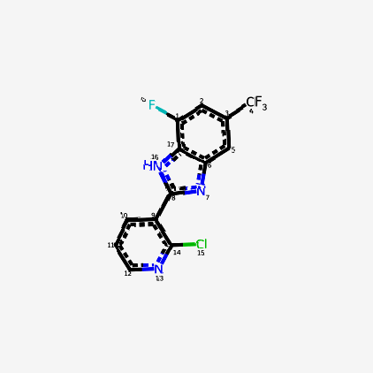 Fc1cc(C(F)(F)F)cc2nc(-c3cccnc3Cl)[nH]c12